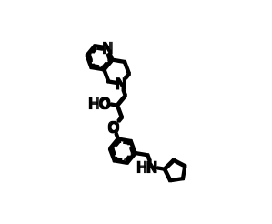 OC(COc1cccc(CNC2CCCC2)c1)CN1CCc2ncccc2C1